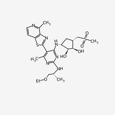 CCOC[C@@H](C)Nc1nc(C)c(-c2nc3c(C)nccc3s2)c(N[C@@H]2C[C@H](CS(C)(=O)=O)[C@@H](O)[C@H]2O)n1